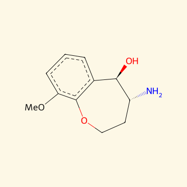 COc1cccc2c1OCC[C@@H](N)[C@@H]2O